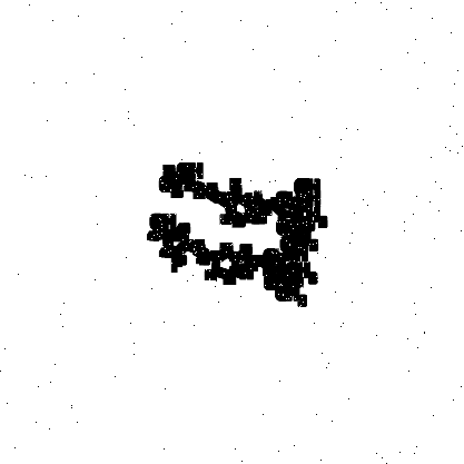 C[C@@](CCn1cc2c(F)c(C#CC#CC3(O)COC3)ccc2n1)(C(=O)NO)S(C)(=O)=O.C[C@@](CCn1cc2cc(C#Cc3ccc(CO)cc3F)ccc2n1)(C(=O)NO)S(C)(=O)=O